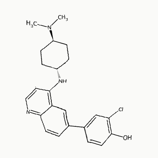 CN(C)[C@H]1CC[C@H](Nc2[c]cnc3ccc(-c4ccc(O)c(Cl)c4)cc23)CC1